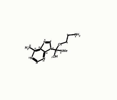 CNC(O)(OCCN)n1cnc2c(N)ncnc21